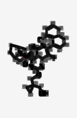 CC(C)(C)OC(=O)N1C2CCC1CN(c1nc(OCC3(CO)CC3)nc3c(F)c(-c4cccc5cccc(Cl)c45)ncc13)C2